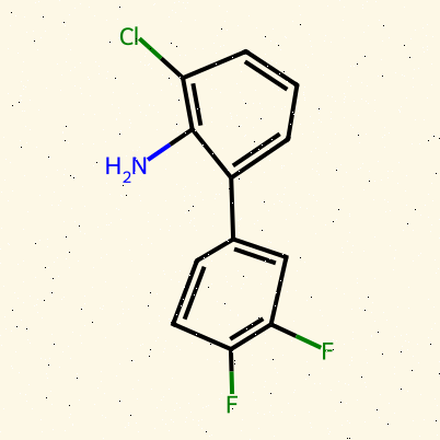 Nc1c(Cl)cccc1-c1ccc(F)c(F)c1